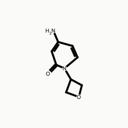 Nc1ccn(C2COC2)c(=O)c1